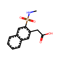 CNS(=O)(=O)c1cc2ccccc2cc1CC(=O)O